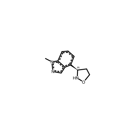 Cn1ncc2c([C@H]3CCON3)cccc21